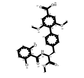 COC(=O)[C@H](Cc1ccc(-c2c(OC)cc(C(=O)O)cc2OC)cc1)NC(=O)c1c(Cl)cccc1Cl